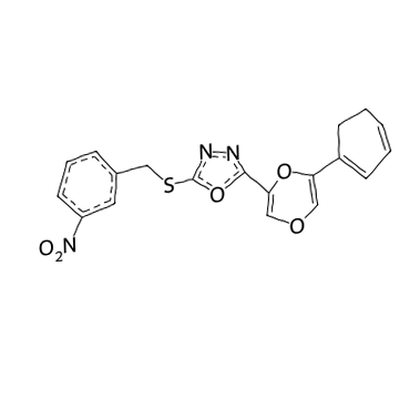 O=[N+]([O-])c1cccc(CSc2nnc(C3=COC=C(C4=CC=CCC4)O3)o2)c1